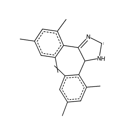 Cc1cc(C)c(C2=N[C]NC2c2c(C)cc(C)cc2C)c(C)c1